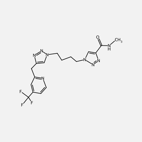 CNC(=O)c1cn(CCCCn2cc(Cc3cc(C(F)(F)F)ccn3)nn2)nn1